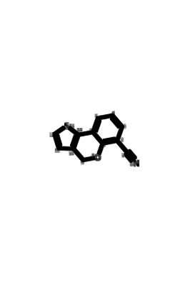 N#Cc1cccc2c1OCc1ccsc1-2